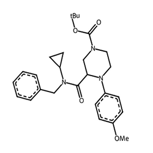 COc1ccc(N2CCN(C(=O)OC(C)(C)C)CC2C(=O)N(Cc2ccccc2)C2CC2)cc1